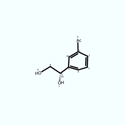 CC(=O)c1cccc([C@H](O)CO)c1